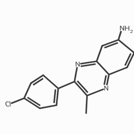 Cc1nc2ccc(N)cc2nc1-c1ccc(Cl)cc1